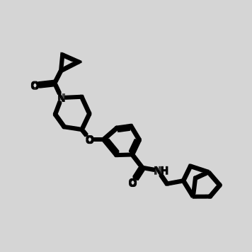 O=C(NCC1CC2CCC1C2)c1cccc(OC2CCN(C(=O)C3CC3)CC2)c1